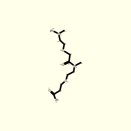 CC(C)C(=O)CCOCCN(C)C(=O)COCCN(C)C(C)C